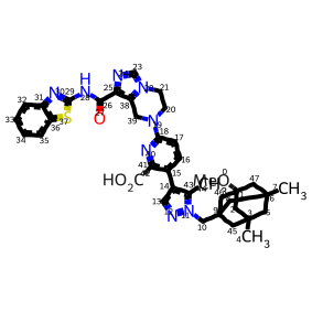 COC12CC3(C)CC(C)(CC(Cn4ncc(-c5ccc(N6CCn7cnc(C(=O)Nc8nc9ccccc9s8)c7C6)nc5C(=O)O)c4C)(C3)C1)C2